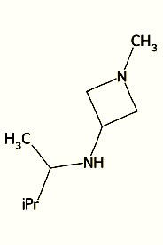 CC(C)C(C)NC1CN(C)C1